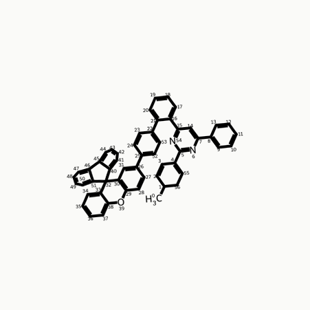 CC1C=CC(c2nc(-c3ccccc3)cc(-c3ccccc3-c3ccc(-c4ccc5c(c4)C4(c6ccccc6O5)c5ccccc5-c5ccccc54)cc3)n2)=CC1